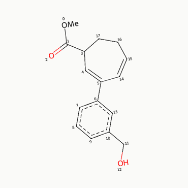 COC(=O)C1C=C(c2cccc(CO)c2)C=CCC1